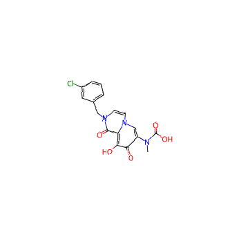 CN(C(=O)O)c1cn2ccn(Cc3cccc(Cl)c3)c(=O)c2c(O)c1=O